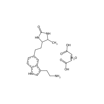 CC1NC(=O)NC1CCc1ccc2[nH]cc(CCN)c2c1.O.O=C(O)/C=C\C(=O)O